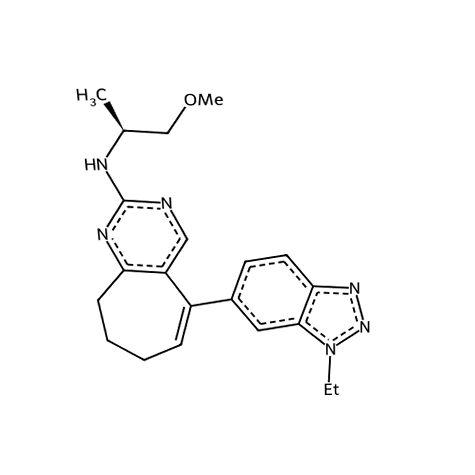 CCn1nnc2ccc(C3=CCCCc4nc(N[C@@H](C)COC)ncc43)cc21